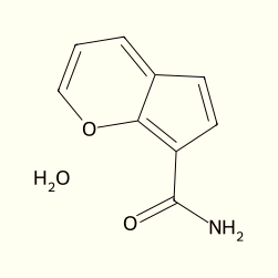 NC(=O)c1ccc2cccoc1-2.O